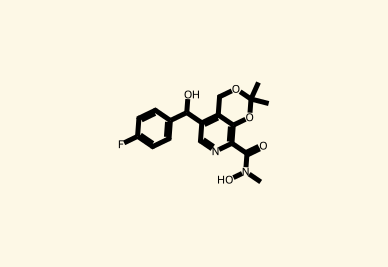 CN(O)C(=O)c1ncc(C(O)c2ccc(F)cc2)c2c1OC(C)(C)OC2